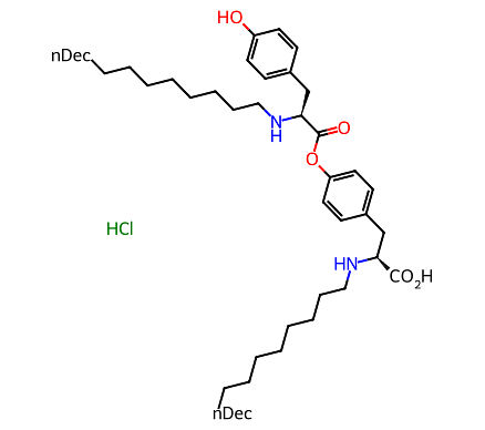 CCCCCCCCCCCCCCCCCCN[C@@H](Cc1ccc(OC(=O)[C@H](Cc2ccc(O)cc2)NCCCCCCCCCCCCCCCCCC)cc1)C(=O)O.Cl